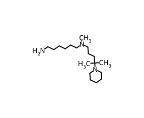 CN(CCCCCCN)CCCC(C)(C)N1CCCCC1